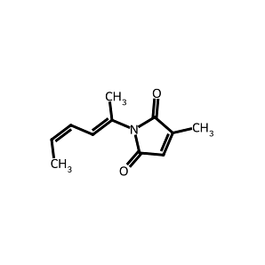 C/C=C\C=C(/C)N1C(=O)C=C(C)C1=O